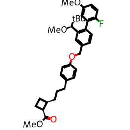 COC(=O)[C@H]1CC[C@H]1CCCc1ccc(OCc2ccc(-c3cc(OC)ccc3F)c([C@@H](OC)C(C)(C)C)c2)cc1